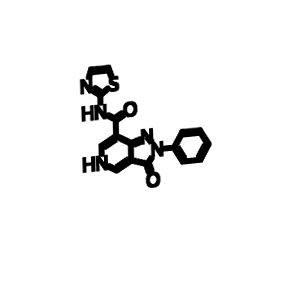 O=C(Nc1nccs1)c1c[nH]cc2c(=O)n(-c3ccccc3)nc1-2